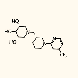 OC1[C@H](O)CN(C[C@H]2CCCN(c3cc(C(F)(F)F)ccn3)C2)C[C@@H]1O